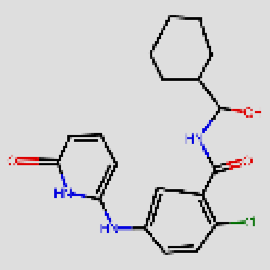 O=C(NC(O)C1CCCCC1)c1cc(Nc2cccc(=O)[nH]2)ccc1Cl